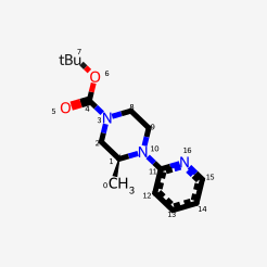 C[C@H]1CN(C(=O)OC(C)(C)C)CCN1c1ccccn1